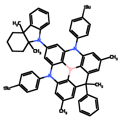 Cc1cc2c3c(c1)C(C)(c1ccccc1)c1cc(C)cc4c1B3c1c(cc(N3c5ccccc5C5(C)CCCCC35C)cc1N4c1ccc(C(C)(C)C)cc1)N2c1ccc(C(C)(C)C)cc1